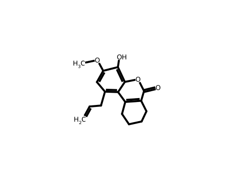 C=CCc1cc(OC)c(O)c2oc(=O)c3c(c12)CCCC3